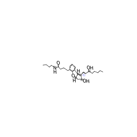 CCCCC[C@H](O)/C=C/[C@@H]1[C@H]2c3cccc(CCCC(=O)NCCCC)c3O[C@H]2C[C@H]1O